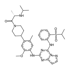 COc1cc(C2CCN(C(=O)[C@H](C)NC(C)C)CC2)c(C)cc1Nc1nc(Nc2ccccc2S(=O)(=O)C(C)C)n2nccc2n1